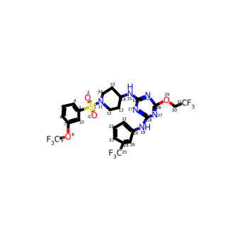 O=S(=O)(c1cccc(OC(F)(F)F)c1)N1CCC(Nc2nc(Nc3cccc(C(F)(F)F)c3)nc(OCC(F)(F)F)n2)CC1